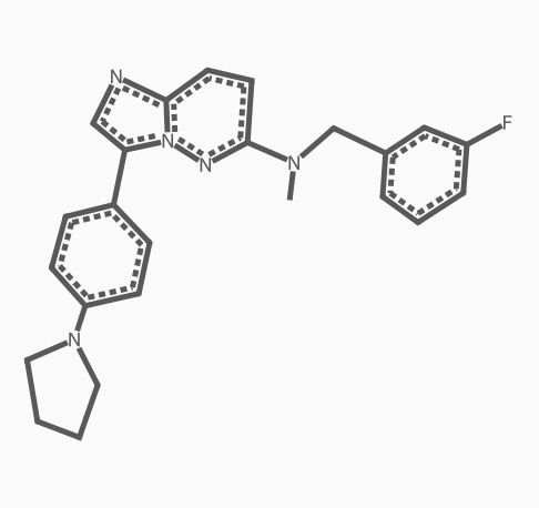 CN(Cc1cccc(F)c1)c1ccc2ncc(-c3ccc(N4CCCC4)cc3)n2n1